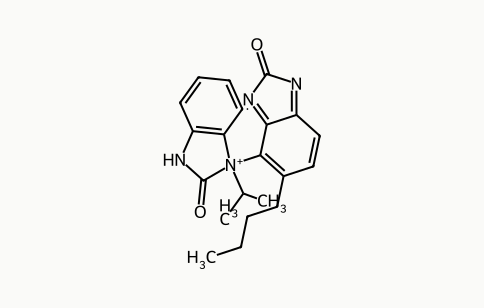 CCCCc1ccc2c(c1[N+]1(C(C)C)C(=O)Nc3ccc[c]c31)=NC(=O)N=2